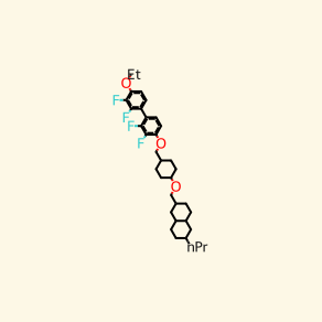 CCCC1CCC2CC(COC3CCC(COc4ccc(-c5ccc(OCC)c(F)c5F)c(F)c4F)CC3)CCC2C1